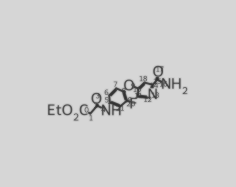 CCOC(=O)CC(=O)Nc1ccc(Oc2ccnc(C(N)=O)c2)c(F)c1